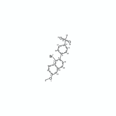 COc1ccc2c(Br)c(-c3ccc(S(C)(=O)=O)cc3)ccc2c1